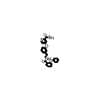 CNC(=O)c1cc(Oc2cccc(CCNC(=O)c3ccccc3Oc3ccccc3)c2)ccn1